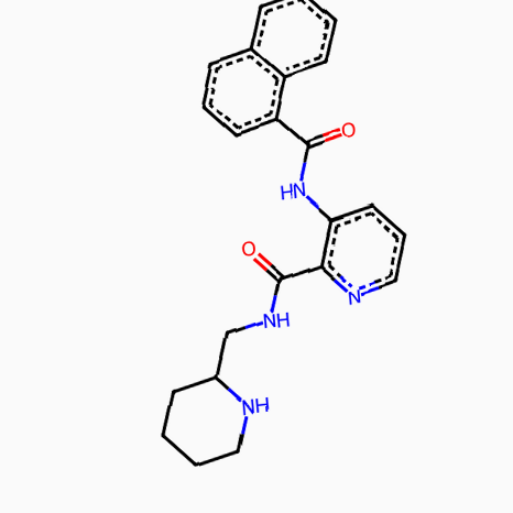 O=C(NCC1CCCCN1)c1ncccc1NC(=O)c1cccc2ccccc12